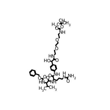 CC(C)C(NC(=O)OCc1ccccc1)C(=O)NC(CCCNC(N)=O)C(=O)Nc1ccc(C(O)C(=O)NCCOCCOCCNC(=O)OC(C)(C)C)cc1